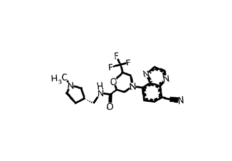 CN1CC[C@@H](CNC(=O)C2CN(c3ccc(C#N)c4nccnc34)CC(C(F)(F)F)O2)C1